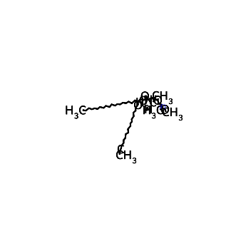 CCCCCCCCCCCCCCCCCCCC(COC(=O)NCC(C)(C)OC/C=C(\C)OC)OCCCCCCCCCCCCCCCCCC